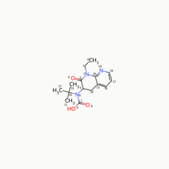 CCN1C(=O)C(N(C(=O)O)C(C)(C)C)Cc2cccnc21